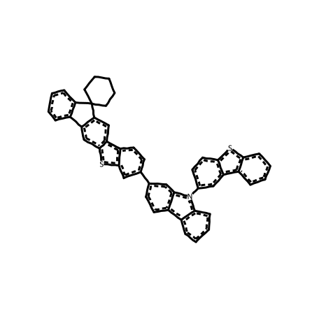 c1ccc2c(c1)-c1cc3sc4cc(-c5ccc6c7ccccc7n(-c7ccc8sc9ccccc9c8c7)c6c5)ccc4c3cc1C21CCCCC1